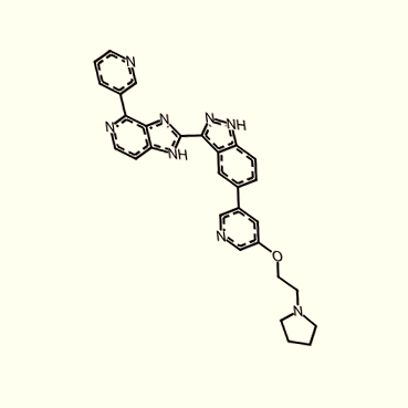 c1cncc(-c2nccc3[nH]c(-c4n[nH]c5ccc(-c6cncc(OCCN7CCCC7)c6)cc45)nc23)c1